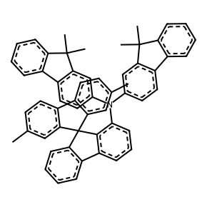 Cc1ccc2c(c1)C1(c3cc(C)ccc3-2)c2ccccc2-c2cccc(N(c3ccc4c(c3)C(C)(C)c3ccccc3-4)c3ccc4c(c3)C(C)(C)c3ccccc3-4)c21